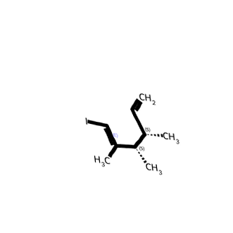 C=C[C@H](C)[C@H](C)/C(C)=C/I